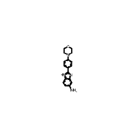 Nc1ccc2[nH]c(-c3ccc(N4CCOCC4)cc3)nc2c1